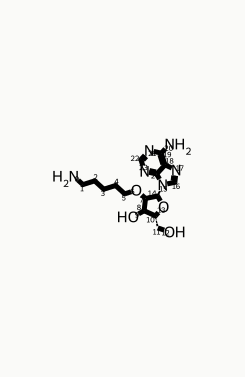 NCCCCCOC1C(O)[C@@H](CO)O[C@H]1n1cnc2c(N)ncnc21